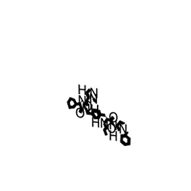 CCC(=O)N[C@H](Cc1ccc(CNC(=O)[C@@H](NC(=O)c2ccnn2C)C2CCCCC2)cc1)C(=O)N[C@@H]1CCN(Cc2ccccc2)C1